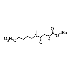 CC(C)(C)OC(=O)NCC(=O)NCCCCO[N+](=O)[O-]